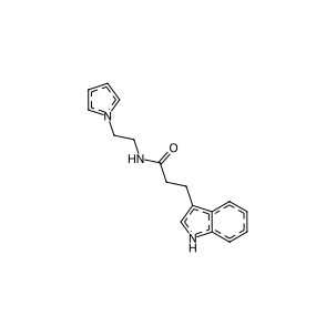 O=C(CCc1c[nH]c2ccccc12)NCCn1cccc1